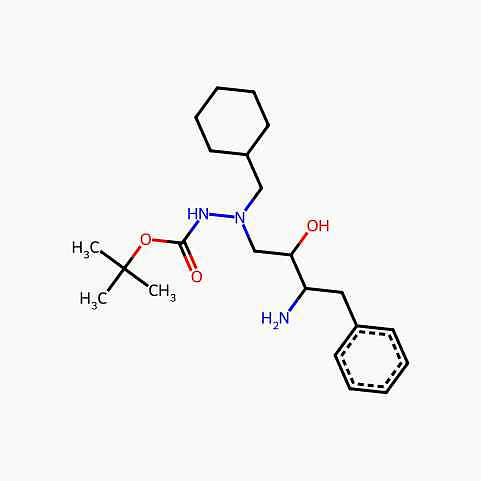 CC(C)(C)OC(=O)NN(CC1CCCCC1)CC(O)C(N)Cc1ccccc1